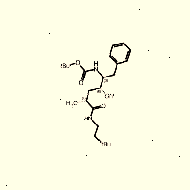 C[C@H](C[C@@H](O)[C@H](Cc1ccccc1)NC(=O)OC(C)(C)C)C(=O)NCCC(C)(C)C